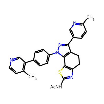 CC(=O)Nc1nc2c(s1)-c1c(c(-c3ccc(C)nc3)nn1-c1ccc(-c3cnccc3C)cc1)CC2